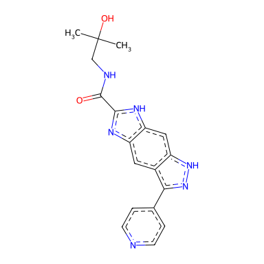 CC(C)(O)CNC(=O)c1nc2cc3c(-c4ccncc4)n[nH]c3cc2[nH]1